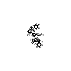 COc1cc(-c2c(Cl)ccn2S(=O)(=O)c2ccc(C)cc2)oc1C(=O)NS(=O)(=O)Cc1ccccc1N